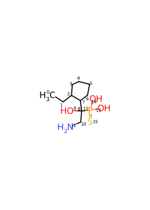 CCC1CCCCC1C(O)(CN)P(O)(O)=S